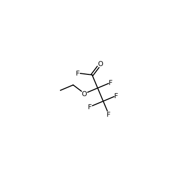 CCOC(F)(C(=O)F)C(F)(F)F